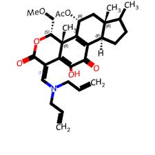 C=CCN(/C=C1/C(=O)O[C@H](COC)[C@@]2(C)C1=C(O)C(=O)C1=C2[C@H](OC(C)=O)C[C@]2(C)C(C)CC[C@@H]12)CC=C